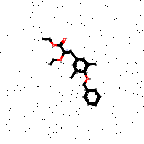 CCOC(=O)/C(=C/c1cc(C)c(OCc2ccccc2)c(C)c1)OCC